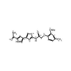 COc1cc(C)ccc1OCC(=O)Nc1nc(-c2c[nH]c(C(N)=O)c2)cs1